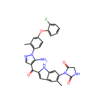 Cc1cc2cc(C(=O)c3cnn(-c4ccc(Oc5ccccc5F)cc4C)c3N)[nH]c2cc1N1C(=O)CNC1=O